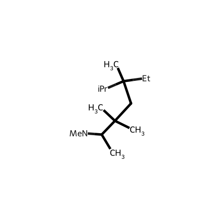 CCC(C)(CC(C)(C)C(C)NC)C(C)C